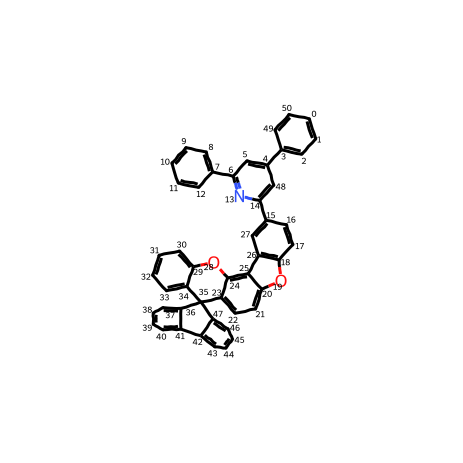 c1ccc(-c2cc(-c3ccccc3)nc(-c3ccc4oc5ccc6c(c5c4c3)Oc3ccccc3C63c4ccccc4-c4ccccc43)c2)cc1